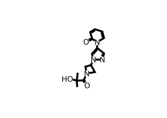 CC(C)(O)C(=O)N1CC(n2cc(-n3ccccc3=O)cn2)C1